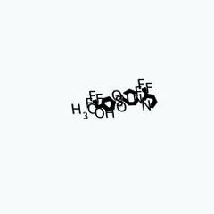 CC(O)(c1ccc(S(=O)(=O)N2CCCN(c3ncccc3C(F)(F)F)CC2)cc1)C(F)(F)F